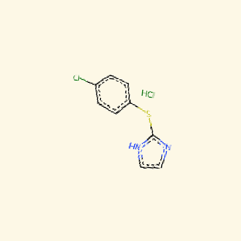 Cl.Clc1ccc(Sc2ncc[nH]2)cc1